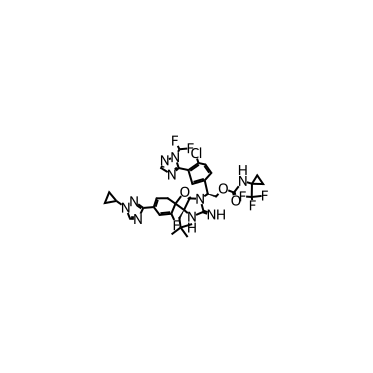 CC(C)(C)C[C@]1(C2(C)CC=C(c3ncn(C4CC4)n3)C=C2F)NC(=N)N([C@H](COC(=O)NC2(C(F)(F)F)CC2)c2ccc(Cl)c(-c3ncnn3C(F)F)c2)C1=O